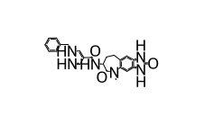 CN1C(=O)[C@@H](NC(=O)/C(C=N)=C/NCc2ccccc2)CCc2cc3[nH]c(=O)[nH]c3cc21